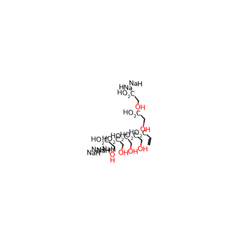 C=CC(=O)O.O=C(O)CO.O=C(O)CO.O=C(O)CO.O=C(O)CO.O=C(O)CO.O=C(O)CO.[NaH].[NaH].[NaH].[NaH].[NaH].[NaH]